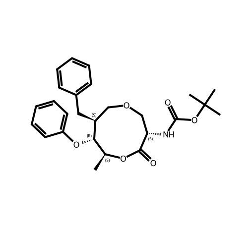 C[C@@H]1OC(=O)[C@@H](NC(=O)OC(C)(C)C)COC[C@H](Cc2ccccc2)[C@H]1Oc1ccccc1